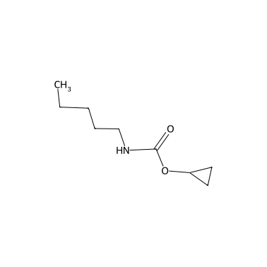 CCCCCNC(=O)OC1CC1